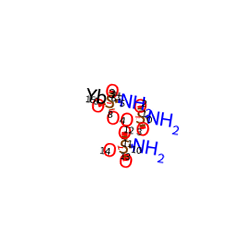 NS(=O)(=O)[O-].NS(=O)(=O)[O-].NS(=O)(=O)[O-].[Yb+3]